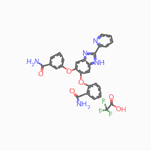 NC(=O)c1cccc(Oc2cc3nc(-c4ccccn4)[nH]c3cc2Oc2ccccc2C(N)=O)c1.O=C(O)C(F)(F)F